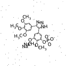 COc1cc(-c2nn[nH]c2-c2cc(OC)c(OC)c(OP(=O)([O-])[O-])c2)cc(OC)c1OC.[Na+].[Na+]